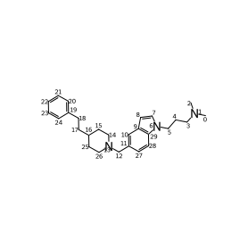 CN(C)CCCn1ccc2cc(CN3CCC(CCc4ccccc4)CC3)ccc21